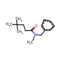 CN(Cc1ccccc1)C(=O)CCC(C)(C)C